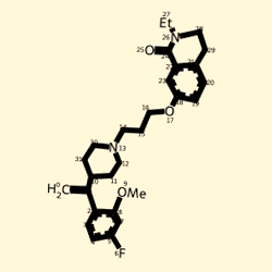 C=C(c1ccc(F)cc1OC)C1CCN(CCCOc2ccc3c(c2)C(=O)N(CC)CC3)CC1